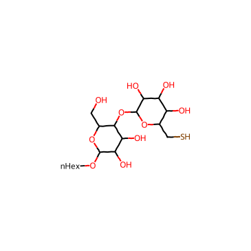 CCCCCCOC1OC(CO)C(OC2OC(CS)C(O)C(O)C2O)C(O)C1O